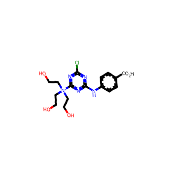 O=C(O)c1ccc(Nc2nc(Cl)nc([N+](CCO)(CCO)CCO)n2)cc1